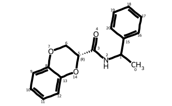 CC(NC(=O)[C@H]1COc2ccccc2O1)c1ccccc1